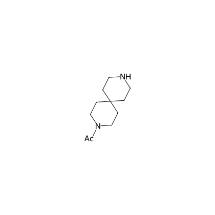 CC(=O)N1CCC2(CCNCC2)CC1